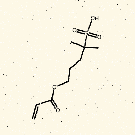 C=CC(=O)OCC[CH]C(C)(C)S(=O)(=O)O